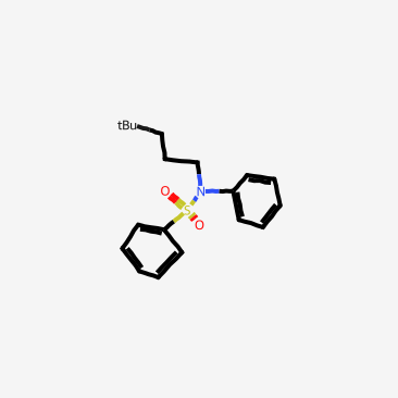 CC(C)(C)CCCN(c1ccccc1)S(=O)(=O)c1ccccc1